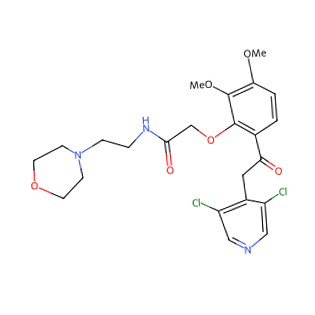 COc1ccc(C(=O)Cc2c(Cl)cncc2Cl)c(OCC(=O)NCCN2CCOCC2)c1OC